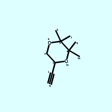 C#CC1COC(C)(C)C(C)(C)O1